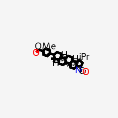 COC(=O)c1ccc(C2CC[C@]3(C)[C@H]4CC[C@@H]5[C@H]6[C@H](C(C)C)CC[C@]6(N=C=O)CC[C@@]5(C)[C@]4(C)CC[C@H]3C2(C)C)cc1